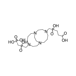 O=C(O)CCP(=O)(O)CN1CCCN2CCN(CCCN(CP(=O)(O)CP(=O)(O)O)CC2)CC1